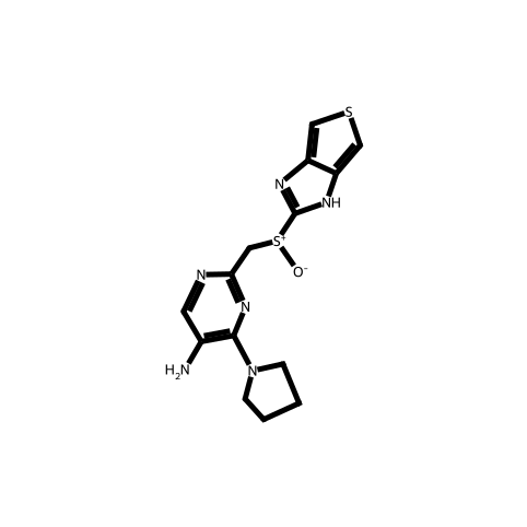 Nc1cnc(C[S+]([O-])c2nc3cscc3[nH]2)nc1N1CCCC1